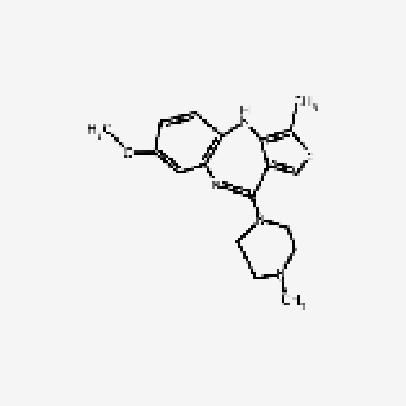 COc1ccc2c(c1)N=C(N1CCN(C)CC1)c1csc(C)c1N2